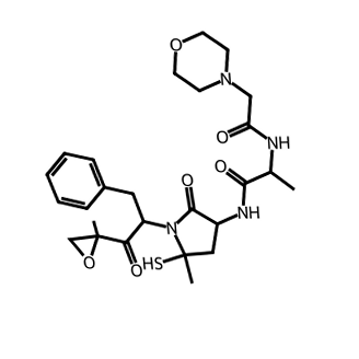 CC(NC(=O)CN1CCOCC1)C(=O)NC1CC(C)(S)N(C(Cc2ccccc2)C(=O)C2(C)CO2)C1=O